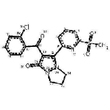 CS(=O)(=O)c1nccc(-c2c(C(=O)c3ccccc3Cl)c(=O)n3n2CCC3)n1